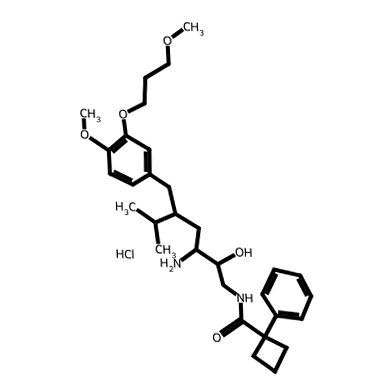 COCCCOc1cc(CC(CC(N)C(O)CNC(=O)C2(c3ccccc3)CCC2)C(C)C)ccc1OC.Cl